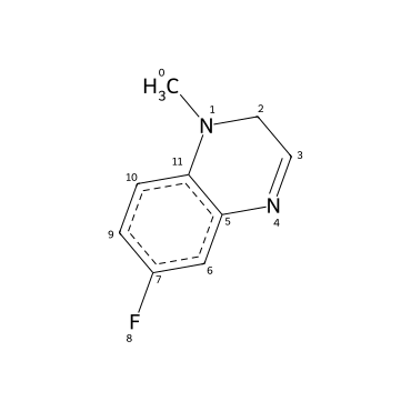 CN1CC=Nc2cc(F)ccc21